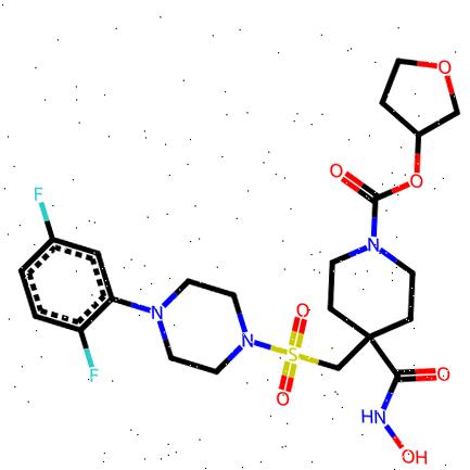 O=C(OC1CCOC1)N1CCC(CS(=O)(=O)N2CCN(c3cc(F)ccc3F)CC2)(C(=O)NO)CC1